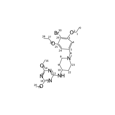 CCOc1cc(CN2CCC(Nc3nc(OC)nc(OC)n3)CC2)cc(OCC)c1Br